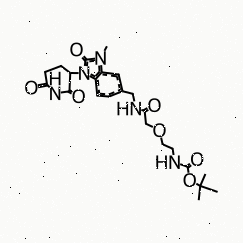 Cn1c(=O)n(C2CCC(=O)NC2=O)c2ccc(CNC(=O)COCCNC(=O)OC(C)(C)C)cc21